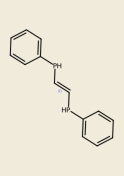 C(=C\Pc1ccccc1)/Pc1ccccc1